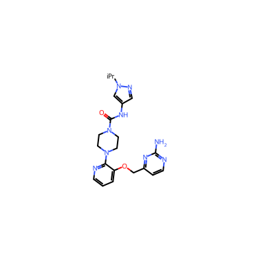 CC(C)n1cc(NC(=O)N2CCN(c3ncccc3OCc3ccnc(N)n3)CC2)cn1